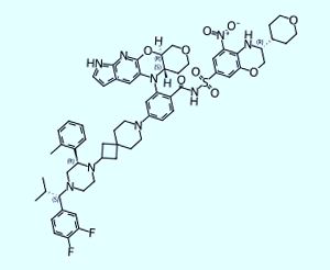 Cc1ccccc1[C@@H]1CN([C@H](c2ccc(F)c(F)c2)C(C)C)CCN1C1CC2(CCN(c3ccc(C(=O)NS(=O)(=O)c4cc5c(c([N+](=O)[O-])c4)N[C@H](C4CCOCC4)CO5)c(N4c5cc6cc[nH]c6nc5O[C@H]5COCC[C@@H]54)c3)CC2)C1